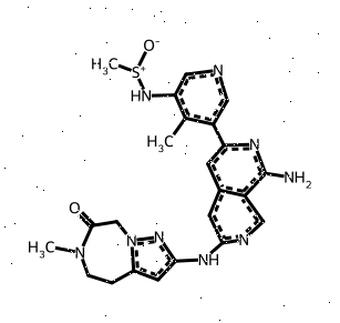 Cc1c(N[S+](C)[O-])cncc1-c1cc2cc(Nc3cc4n(n3)CC(=O)N(C)CC4)ncc2c(N)n1